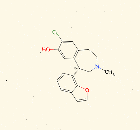 CN1CCc2cc(Cl)c(O)cc2[C@@H](c2cccc3ccoc23)C1